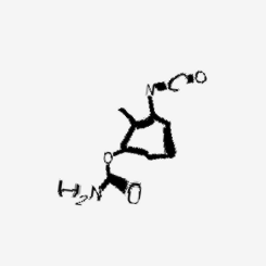 Cc1c(N=C=O)cccc1OC(N)=O